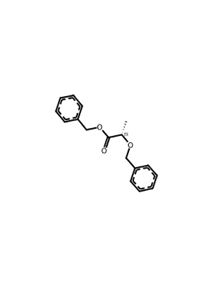 C[C@H](OCc1ccccc1)C(=O)OCc1ccccc1